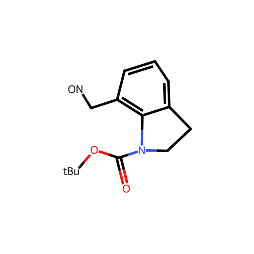 CC(C)(C)OC(=O)N1CCc2cccc(CN=O)c21